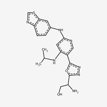 CC(C)Nc1cc(Nc2ccc3ncsc3c2)ncc1-c1nnc(C(N)CO)o1